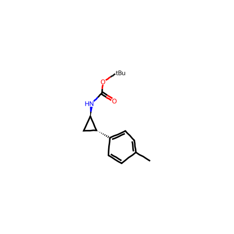 Cc1ccc([C@@H]2C[C@H]2NC(=O)OC(C)(C)C)cc1